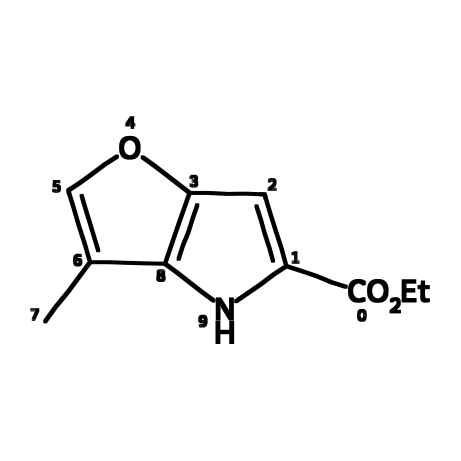 CCOC(=O)c1cc2occ(C)c2[nH]1